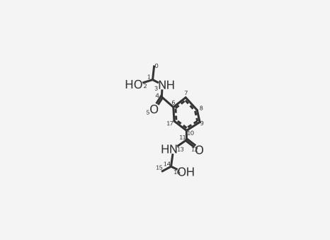 CC(O)NC(=O)c1cccc(C(=O)NC(C)O)c1